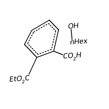 CCCCCCO.CCOC(=O)c1ccccc1C(=O)O